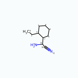 CCC1CCCCC1C(N)C#N